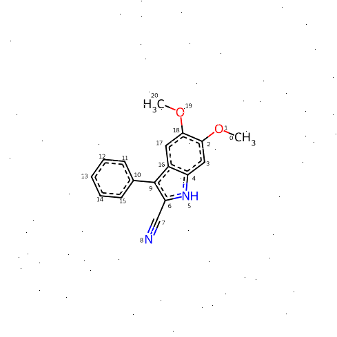 COc1cc2[nH]c(C#N)c(-c3ccccc3)c2cc1OC